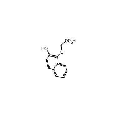 O=C(O)COc1c(O)ccc2ccccc12